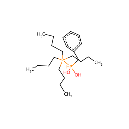 CCCCP(CCCC)(CCCC)(CCCC)[PH](O)(O)Cc1ccccc1